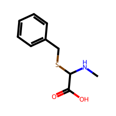 CNC(SCc1ccccc1)C(=O)O